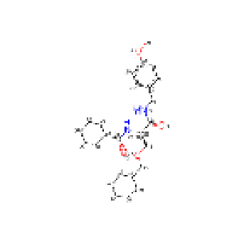 COc1ccc(CNC(=O)[C@@H](COCC2CCCCC2)NC(=O)C2CCCCC2)cc1